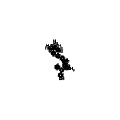 Cc1c(C(=O)O)c(-c2cccc(N3CCN(c4ccc(N5C=CO[P@@]5(=O)c5ccc(NC(CCN6CCC(O)CC6)CSc6ccccc6)c(S(C)(=O)=O)c5)cc4)CC3)c2)c(-c2ccc(Cl)cc2)n1C(C)C